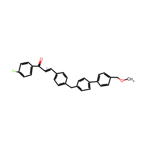 COCc1ccc(-c2ccc(Cc3ccc(/C=C/C(=O)c4ccc(F)cc4)cc3)cc2)cc1